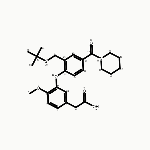 COc1ccc(CC(=O)O)cc1Oc1ccc(C(=O)N2CCCCC2)cc1CSC(C)(C)C